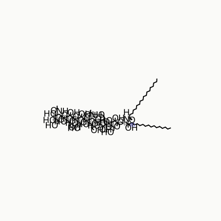 CCCCCCCCCCCCC/C=C/[C@@H](O)[C@H](CO[C@@H]1OC(CO)[C@@H](O[C@@H]2OC(CO)[C@H](O[C@@H]3OC(CO)[C@H](O)[C@H](O[C@@H]4OC(CO)[C@H](O)[C@H](O[C@H]5OC(CO)[C@H](O)[C@H](O[C@@H]6OC(CO)[C@H](O)[C@H](O)C6NC(C)=O)C5O)C4O)C3NC(C)=O)[C@H](O)C2O)[C@H](O)C1O)NC(=O)CCCCCCCCCCCCCCCCC